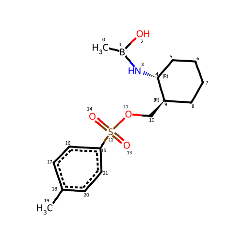 CB(O)N[C@@H]1CCCC[C@H]1COS(=O)(=O)c1ccc(C)cc1